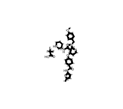 COc1ccc(Cn2nc(N[C@@H]3CCCNC3)c3c(Oc4ccc(C(=O)Nc5ccc(C)s5)cc4)ccnc32)cc1.O=C(O)C(F)(F)F